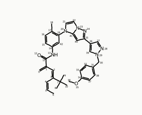 C=C(/C=C(\C=C/C)C(C)(C)C)C(=O)Nc1ccc(C)c(-n2ccn3nc(-c4cnn(Cc5ccc(OC)cc5)c4)cc23)c1